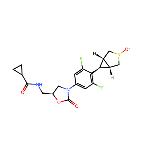 O=C(NC[C@H]1CN(c2cc(F)c([C@H]3[C@@H]4C[S+]([O-])C[C@@H]43)c(F)c2)C(=O)O1)C1CC1